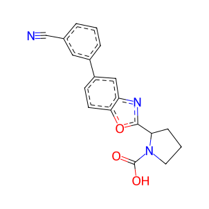 N#Cc1cccc(-c2ccc3oc(C4CCCN4C(=O)O)nc3c2)c1